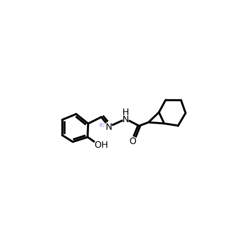 O=C(N/N=C/c1ccccc1O)C1C2CCCCC21